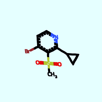 CS(=O)(=O)c1c(Br)ccnc1C1CC1